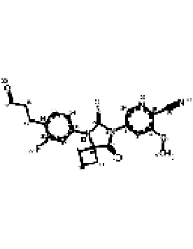 COc1cc(N2C(=O)C3(CCC3)N(c3ccc(CCC=O)c(F)c3)C2=S)cnc1C#N